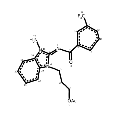 CC(=O)OCCCn1c(=NC(=O)c2cccc(C(F)(F)F)c2)n(N)c2ccccc21